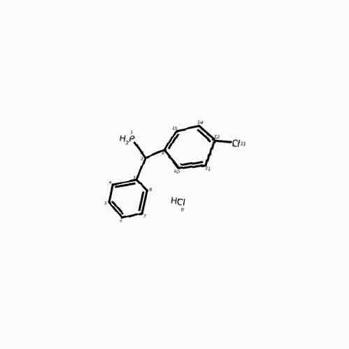 Cl.PC(c1ccccc1)c1ccc(Cl)cc1